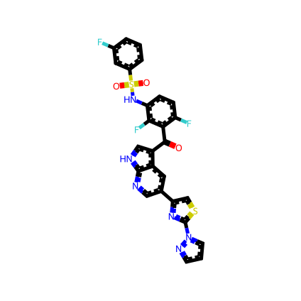 O=C(c1c(F)ccc(NS(=O)(=O)c2cccc(F)c2)c1F)c1c[nH]c2ncc(-c3csc(-n4cccn4)n3)cc12